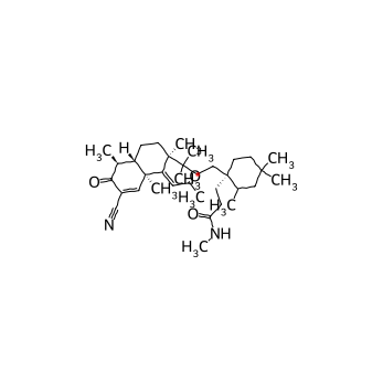 CNC(=O)CC[C@]1(CCC(C)(C)[C@]2(C)CC[C@H]3[C@H](C)C(=O)C(C#N)=C[C@]3(C)/C2=C/C(C)=O)CCC(C)(C)CC1C